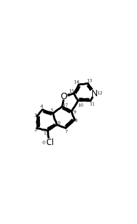 Clc1cccc2c1ccc1c3cnccc3oc21